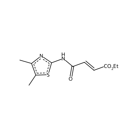 CCOC(=O)/C=C/C(=O)Nc1nc(C)c(C)s1